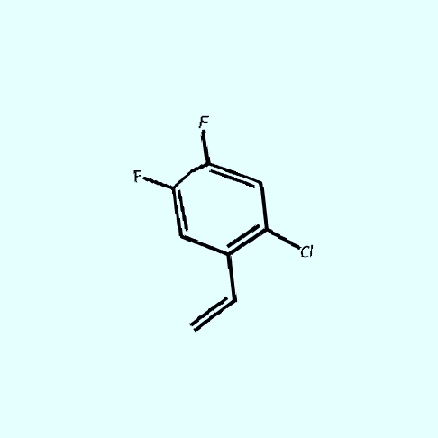 C=Cc1cc(F)c(F)cc1Cl